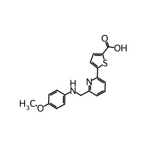 COc1ccc(NCc2cccc(-c3ccc(C(=O)O)s3)n2)cc1